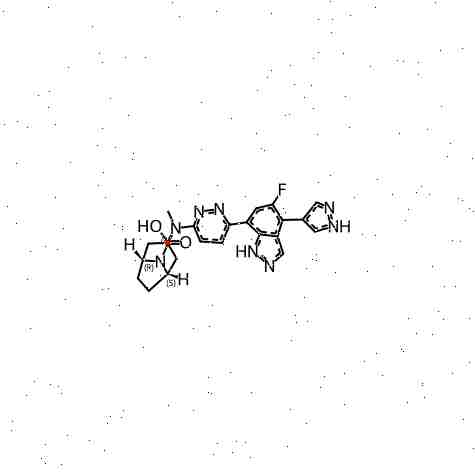 CN(c1ccc(-c2cc(F)c(-c3cn[nH]c3)c3cn[nH]c23)nn1)[C@@H]1C[C@H]2CC[C@@H](C1)N2C(=O)O